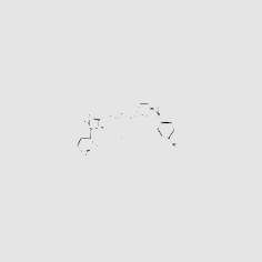 Cn1c(SCCCN2CCC3(C[C@@H]3c3ccc(C(F)(F)F)cc3)C2)nnc1-c1ccncn1